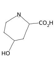 O=C(O)C1CC(O)CC[N]1